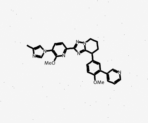 COc1ccc(C2CCCn3nc(-c4ccc(-n5cnc(C)c5)c(OC)n4)nc32)cc1-c1cccnc1